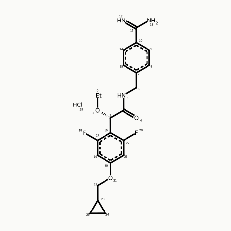 CCO[C@H](C(=O)NCc1ccc(C(=N)N)cc1)c1c(F)cc(OCC2CC2)cc1F.Cl